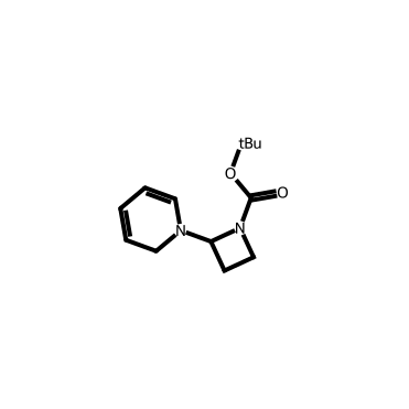 CC(C)(C)OC(=O)N1CCC1N1C=CC=CC1